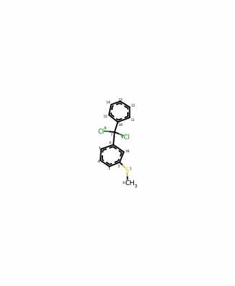 CSc1cccc(C(Cl)(Cl)c2ccccc2)c1